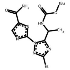 CCc1nc(C(C)NC(=O)OC(C)(C)C)n(-c2ncc(C(N)=O)s2)n1